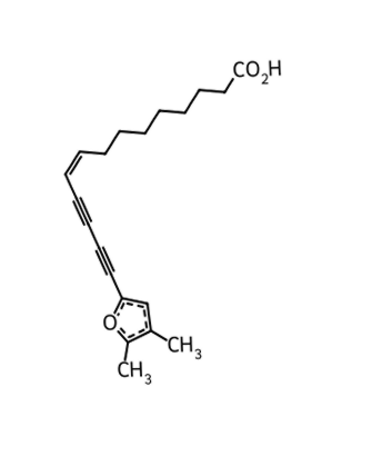 Cc1cc(C#CC#C/C=C\CCCCCCCC(=O)O)oc1C